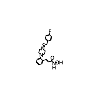 O=C(/C=C/c1ccccc1N1CCN(SCc2ccc(F)cc2)CC1)NO